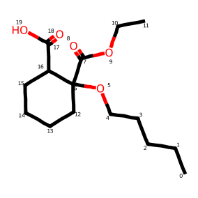 CCCCCOC1(C(=O)OCC)CCCCC1C(=O)O